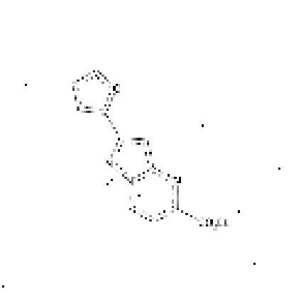 CCOC(=O)c1ccn2nc(-c3ccco3)cc2n1